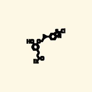 CCC(=O)CCc1ccc(O)c(OCC2CC2c2ccc3nc(Cl)sc3c2)c1